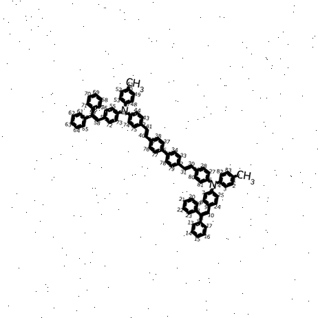 Cc1ccc(N(c2ccc(C=C(c3ccccc3)c3ccccc3)cc2)c2ccc(/C=C/c3ccc(-c4ccc(/C=C/c5ccc(N(c6ccc(C)cc6)c6ccc(C=C(c7ccccc7)c7ccccc7)cc6)cc5)cc4)cc3)cc2)cc1